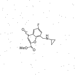 COC(=O)C1=CC(=C=O)c2cc(F)cc(CNC3CC3)c2O1